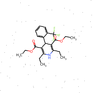 CCOC(=O)C1=C(CC)NC(CC)=C(C(=O)OCC)C1c1ccccc1C(F)(F)F